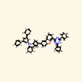 c1ccc(-c2cc(-c3ccccc3)cc(-n3c4ccccc4c4cc(-c5ccc6oc7c(-c8nc(-c9ccccc9)nc(-c9ccccc9)n8)cccc7c6c5)ccc43)c2)cc1